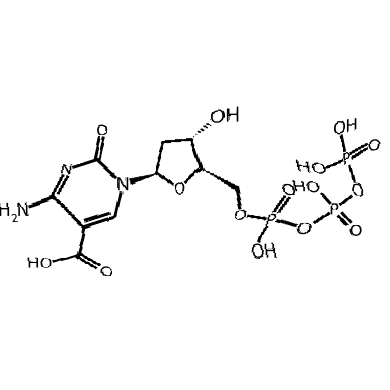 Nc1nc(=O)n([C@H]2C[C@H](O)[C@@H](COP(=O)(O)OP(=O)(O)OP(=O)(O)O)O2)cc1C(=O)O